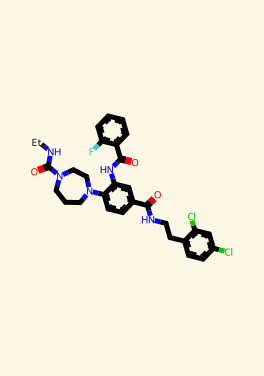 CCNC(=O)N1CCCN(c2ccc(C(=O)NCCc3ccc(Cl)cc3Cl)cc2NC(=O)c2ccccc2F)CC1